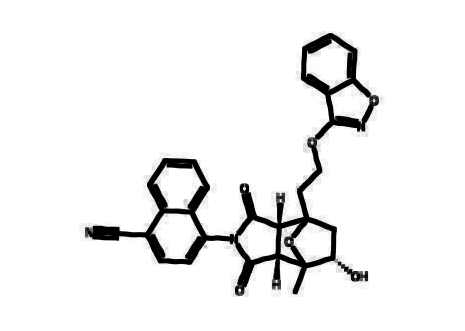 CC12OC(CCOc3noc4ccccc34)(C[C@@H]1O)[C@H]1C(=O)N(c3ccc(C#N)c4ccccc34)C(=O)[C@H]12